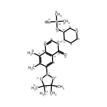 Cc1c(B2OC(C)(C)C(C)(C)O2)cc2c(=O)n([C@H]3CCOC[C@@H]3O[Si](C)(C)C(C)(C)C)cnc2c1C